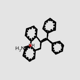 NNc1ccccc1C(Cc1ccccc1)=C(c1ccccc1)c1ccccc1